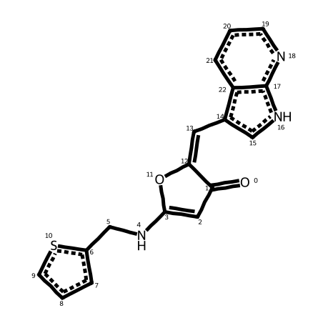 O=C1C=C(NCc2cccs2)O/C1=C/c1c[nH]c2ncccc12